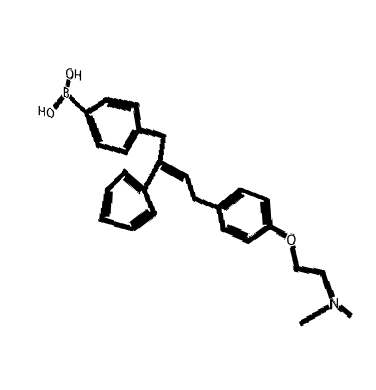 CN(C)CCOc1ccc(CC=C(Cc2ccc(B(O)O)cc2)c2ccccc2)cc1